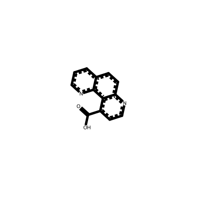 O=C(O)c1ccnc2ccc3cccnc3c12